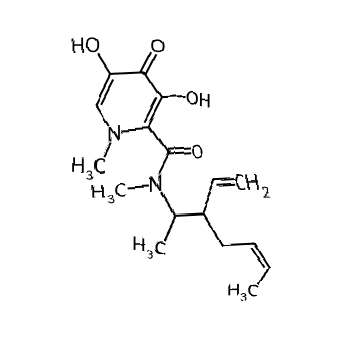 C=CC(C/C=C\C)C(C)N(C)C(=O)c1c(O)c(=O)c(O)cn1C